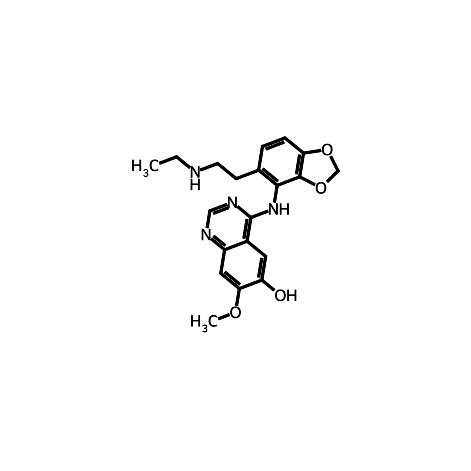 CCNCCc1ccc2c(c1Nc1ncnc3cc(OC)c(O)cc13)OCO2